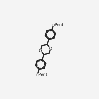 CCCCCc1ccc(C2COC(c3ccc(CCCCC)cc3)CO2)cc1